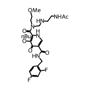 CCCCOc1c(C(=O)N(CCOC)CNCCNC(C)=O)[nH]cc(C(=O)NCc2ccc(F)cc2F)c1=O